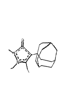 Cc1c(C23CC4CC(CC(C4)C2)C3)c(=O)n(C)n1C